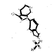 CC(C)S(=O)(=O)N[C@H]1Cc2ccc(-n3nc(C(F)(F)F)c4c3COCC4)cc2C1